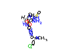 CN(C)CC[C@H](CSc1ccccc1)Nc1ccc(S(=O)(=O)Nc2ccc(N3CCN(c4cccc(-c5cn(C)cc5-c5ccc(Cl)cc5)c4)CC3)cc2)cc1N